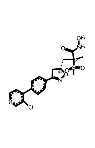 C[C@@](C[C@H]1CC(c2ccc(-c3ccncc3Cl)cc2)=NO1)(C(=O)NO)S(C)(=O)=O